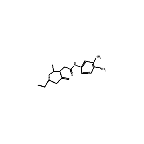 C=C1CC(CC)CC(C)C1CC(=O)Nc1ccc(N)c(N)c1